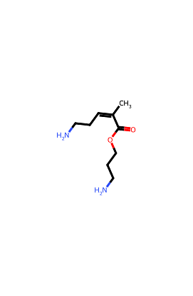 CC(=CCCN)C(=O)OCCCN